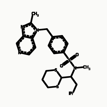 Cc1nc2cnccc2n1Cc1ccc(S(=O)(=O)N(C)C(CC(C)C)C2SCCCS2)cc1